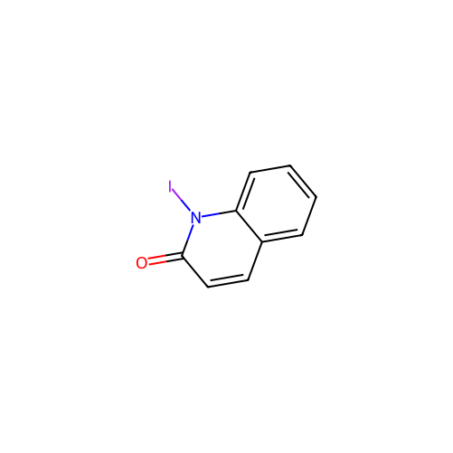 O=c1ccc2ccccc2n1I